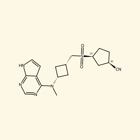 CN(c1ncnc2[nH]ccc12)[C@H]1C[C@@H](CS(=O)(=O)[C@H]2CC[C@@H](C#N)C2)C1